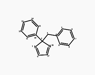 C1=NC(Cc2ccccc2)(c2ccccc2)N=C1